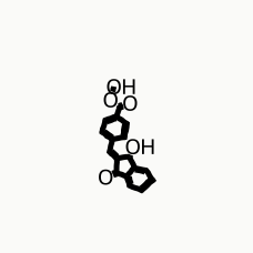 O=C(OO)c1ccc(C=C2C(=O)c3ccccc3C2O)cc1